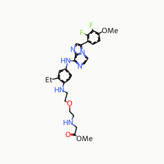 CCc1cc(Nc2nccn3c(-c4ccc(OC)c(F)c4F)cnc23)ccc1NCCOCCNCC(=O)OC